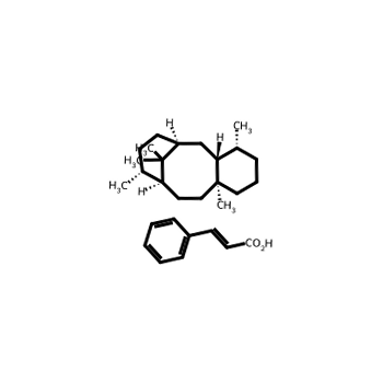 C[C@@H]1CCC[C@@]2(C)CC[C@H]3[C@H](C)CC[C@@H](C[C@H]12)C3(C)C.O=C(O)/C=C/c1ccccc1